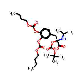 CCCCOC(=O)Oc1ccc(C[C@](NC(C)C)(OC(=O)OC(C)(C)C)C(=O)O)cc1OC(=O)OCCCC